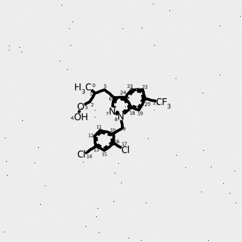 CC(COO)Cc1nn(Cc2ccc(Cl)cc2Cl)c2cc(C(F)(F)F)ccc12